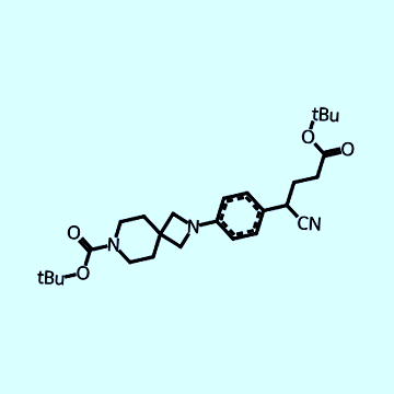 CC(C)(C)OC(=O)CCC(C#N)c1ccc(N2CC3(CCN(C(=O)OC(C)(C)C)CC3)C2)cc1